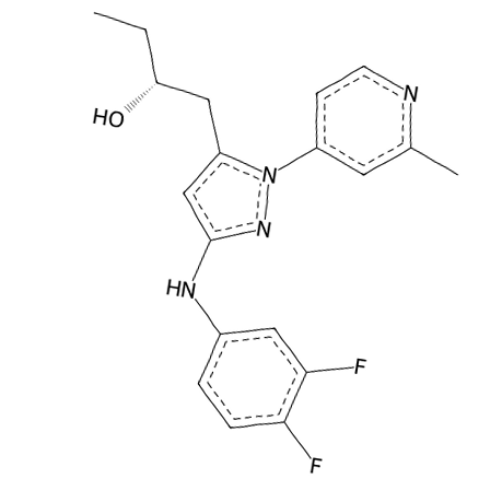 CC[C@@H](O)Cc1cc(Nc2ccc(F)c(F)c2)nn1-c1ccnc(C)c1